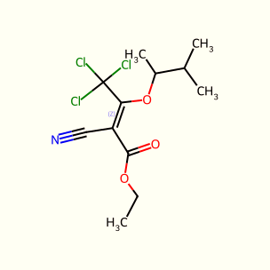 CCOC(=O)/C(C#N)=C(\OC(C)C(C)C)C(Cl)(Cl)Cl